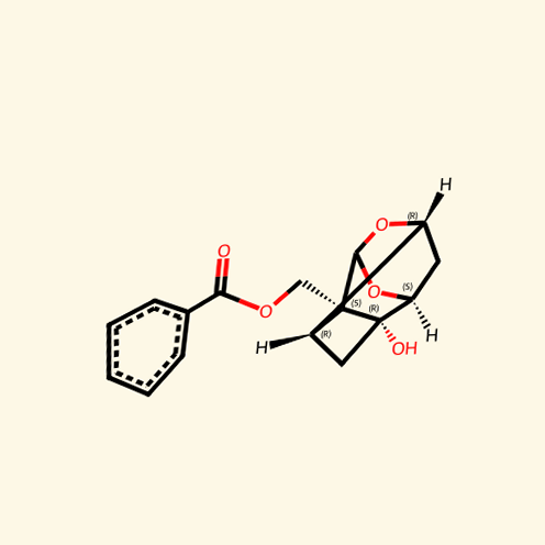 O=C(OC[C@@]12C3O[C@H]4C[C@@H](O3)[C@@H]1C[C@]42O)c1ccccc1